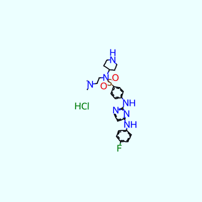 CN(C)CCN(C1CCNCC1)S(=O)(=O)c1ccc(Nc2nccc(Nc3ccc(F)cc3)n2)cc1.Cl